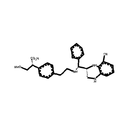 COC[C@H](C(=O)O)c1ccc(CCN[C@H](c2ccccc2)[C@H]2CNc3cccc(C#N)c3N2)cc1